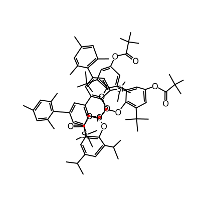 Cc1cc(C)c(-c2cc(-c3cc(-c4c(C)cc(C)cc4C)cc([Si](C)(C)C)c3Op3oc4c(C(C)(C)C)cc(OC(=O)C(C)(C)C)cc4c4cc(OC(=O)C(C)(C)C)cc(C(C)(C)C)c4o3)c(OP3OC(=O)c4cc(C(C)C)cc(C(C)C)c4O3)c([Si](C)(C)C)c2)c(C)c1